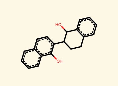 Oc1c(C2CCc3ccccc3C2O)ccc2ccccc12